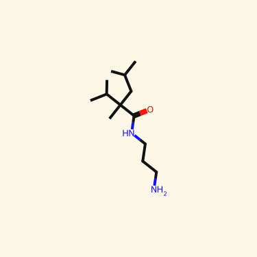 CC(C)CC(C)(C(=O)NCCCN)C(C)C